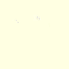 Ic1ccccc1-c1cccn2ccnc12